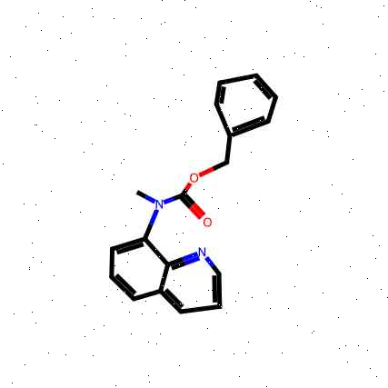 CN(C(=O)OCc1ccccc1)c1cccc2cccnc12